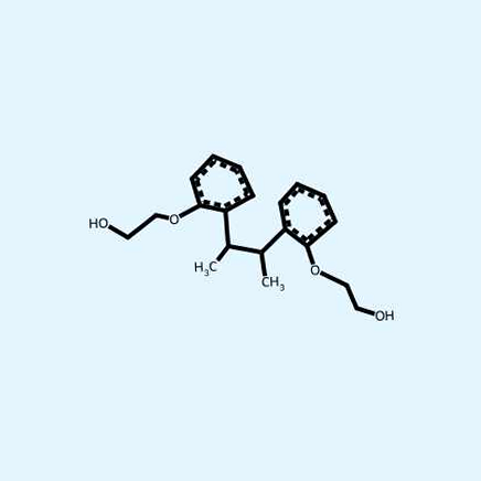 CC(c1ccccc1OCCO)C(C)c1ccccc1OCCO